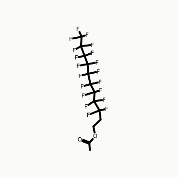 CC(=O)OCCC(F)(F)C(F)(F)C(F)(F)C(F)(F)C(F)(F)C(F)(F)C(F)(F)C(F)(F)C(F)(F)F